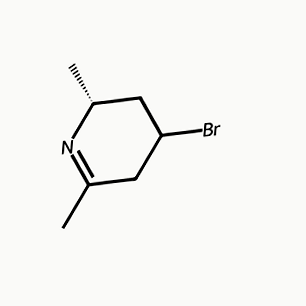 CC1=N[C@H](C)CC(Br)C1